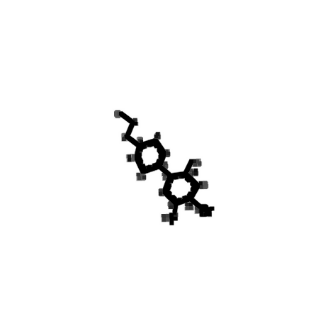 CCCc1ccc(-c2cc(F)c(Br)cc2C)cc1